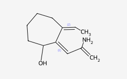 C=C(N)/C=C1\C(=C/C)CCCCC1O